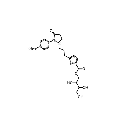 CCCCCCc1ccc(N2C(=O)CC[C@@H]2CCCc2ccc(C(=O)OCC(O)C(O)CO)s2)cc1